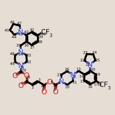 O=C(/C=C/C(=O)OC(=O)N1CCN(Cc2ccc(C(F)(F)F)cc2N2CCCC2)CC1)OC(=O)N1CCN(Cc2ccc(C(F)(F)F)cc2N2CCCC2)CC1